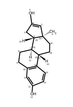 C[C@@]12C=C(O)C[C@H]1[C@@H]1CCc3cc(O)ccc3[C@H]1CC2